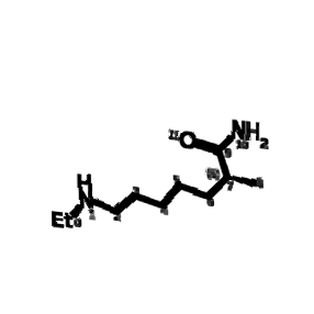 CCNCCCCC[C@H](C)C(N)=O